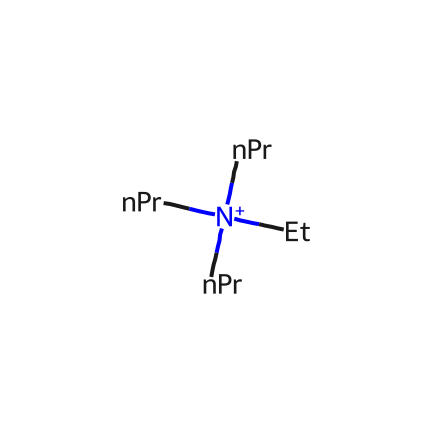 CCC[N+](CC)(CCC)CCC